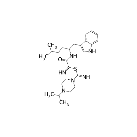 CC(C)CCC(Cc1c[nH]c2ccccc12)NC(=O)C(=N)SC(=N)N1CCN(C(C)C)CC1